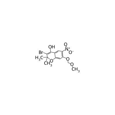 COCOc1cc2c(cc1[N+](=O)[O-])C(O)=C(Br)C(C)(C)O2